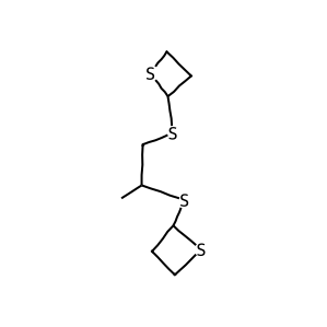 CC(CSC1CCS1)SC1CCS1